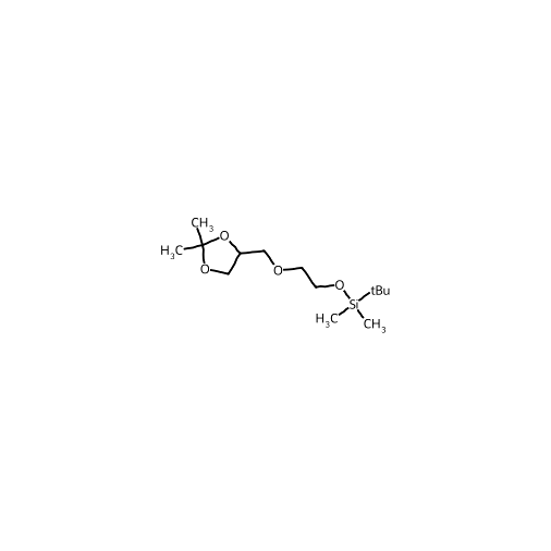 CC1(C)OCC(COCCO[Si](C)(C)C(C)(C)C)O1